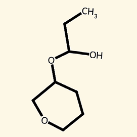 CCC(O)OC1CCCOC1